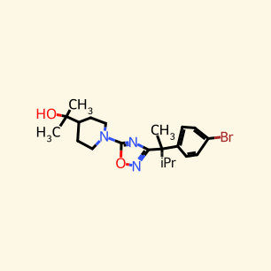 CC(C)C(C)(c1ccc(Br)cc1)c1noc(N2CCC(C(C)(C)O)CC2)n1